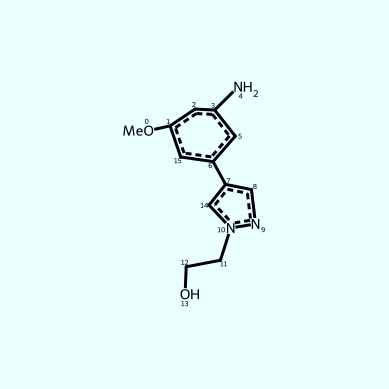 COc1cc(N)cc(-c2cnn(CCO)c2)c1